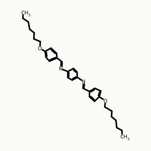 CCCCCCCOc1ccc(C=Nc2ccc(N=Cc3ccc(OCCCCCCC)cc3)cc2)cc1